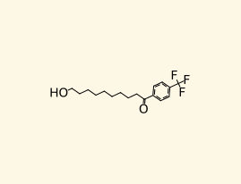 O=C(CCCCCCCCCO)c1ccc(C(F)(F)F)cc1